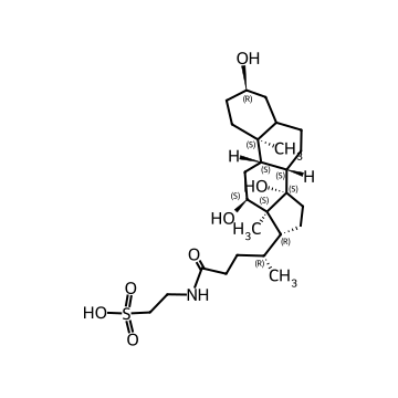 C[C@H](CCC(=O)NCCS(=O)(=O)O)[C@H]1CC[C@]2(O)[C@H]3CCC4C[C@H](O)CC[C@]4(C)[C@H]3C[C@H](O)[C@]12C